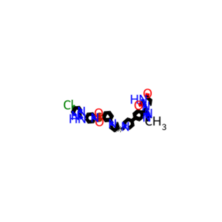 Cn1nc(N2CCC(=O)NC2=O)c2ccc(C3CCN(C[C@@H]4CCN(c5cccc(S(=O)(=O)N6CCC(Nc7ncc(Cl)cn7)CC6)c5)C4)CC3)cc21